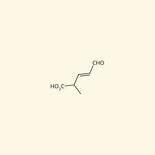 CC(C=CC=O)C(=O)O